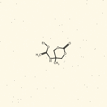 C=C(NC1(C)COC(=O)OC1)OCC